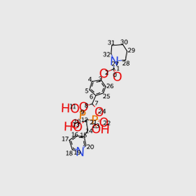 O=C(Oc1ccc(C2OP(=O)(O)C(O)(Cc3cccnc3)P(=O)(O)O2)cc1)N1CCCCC1